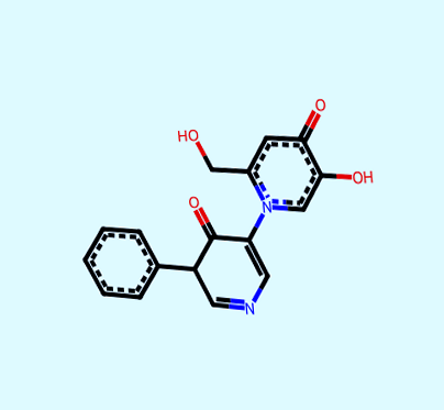 O=C1C(n2cc(O)c(=O)cc2CO)=CN=CC1c1ccccc1